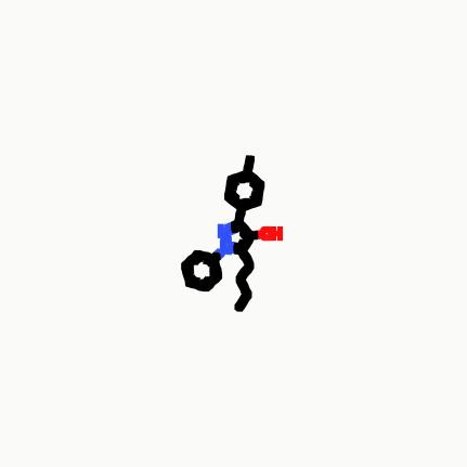 CCCCc1c(O)c(-c2ccc(C)cc2)nn1-c1ccccc1